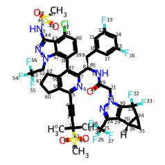 CC(C)(C#Cc1nc([C@@H](Cc2cc(F)cc(F)c2)NC(=O)Cn2nc(C(F)(F)F)c3c2C(F)(F)C2C[C@H]32)c(-c2ccc(Cl)c3c(NS(C)(=O)=O)nn(CC(F)(F)F)c23)c2c1CCC2)S(C)(=O)=O